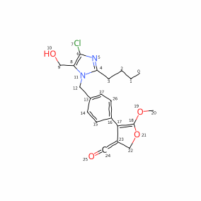 CCCCc1nc(Cl)c(CO)n1Cc1ccc(C2=C(OC)OCC2=C=O)cc1